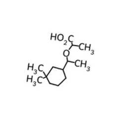 CC(OC(C)C1CCCC(C)(C)C1)C(=O)O